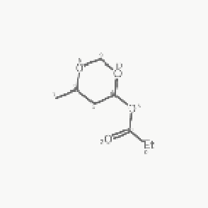 CCC(=O)OC1CC(C)OCO1